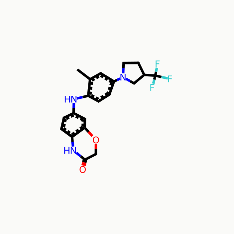 Cc1cc(N2CCC(C(F)(F)F)C2)ccc1Nc1ccc2c(c1)OCC(=O)N2